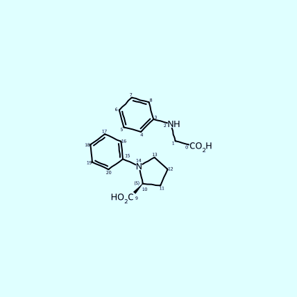 O=C(O)CNc1ccccc1.O=C(O)[C@@H]1CCCN1c1ccccc1